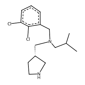 CC(C)CN(Cc1cccc(Cl)c1Cl)C[C@H]1CCNC1